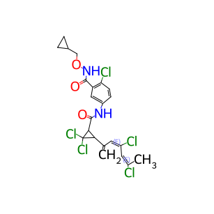 C=C(/C=C(Cl)\C=C(/C)Cl)C1C(C(=O)Nc2ccc(Cl)c(C(=O)NOCC3CC3)c2)C1(Cl)Cl